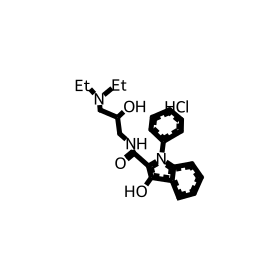 CCN(CC)CC(O)CNC(=O)c1c(O)c2ccccc2n1-c1ccccc1.Cl